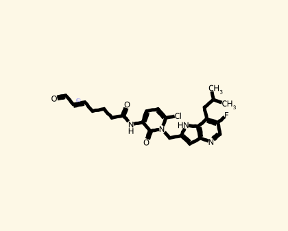 CC(C)Cc1c(F)cnc2cc(Cn3c(Cl)ccc(NC(=O)CCC/C=C/C=O)c3=O)[nH]c12